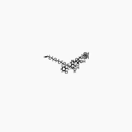 C#CCOCCOCCOCCOCCN(Cc1ccccc1Cl)c1nc(OC)nc2c1cnn2[C@@H]1OC(COCP(=O)(O)O)[C@@H](O)[C@H]1O